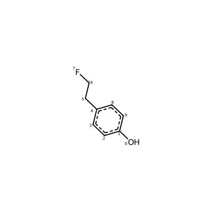 Oc1ccc(C[CH]F)cc1